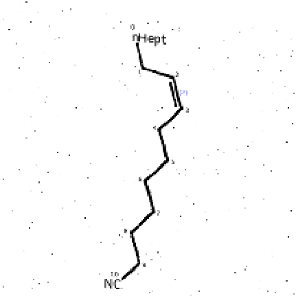 CCCCCCCC/C=C\CCCCCCC#N